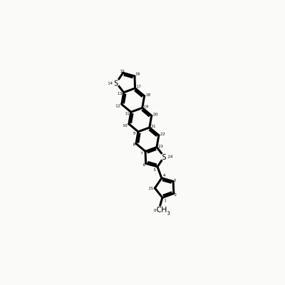 CC1=CC=C(c2cc3cc4cc5cc6sccc6cc5cc4cc3s2)C1